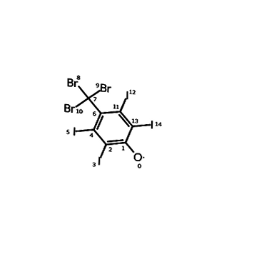 [O]c1c(I)c(I)c(C(Br)(Br)Br)c(I)c1I